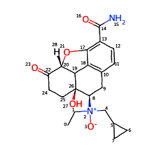 CC[N+]([O-])(CC1CC1)[C@@H]1Cc2ccc(C(N)=O)c3c2C2[C@@H](O3)C(=O)CC[C@]21O